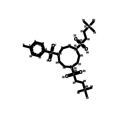 Cc1ccc(S(=O)(=O)N2CCN(S(=O)(=O)CC[Si](C)(C)C)CCN(S(=O)(=O)CC[Si](C)(C)C)CC2)cc1